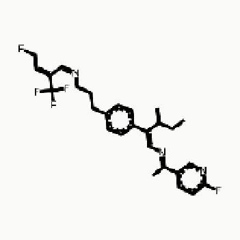 CCC(C)/C(=C\N=C(/C)c1ccc(F)nc1)c1ccc(CCC/N=C\C(=C/CF)C(F)(F)F)cc1